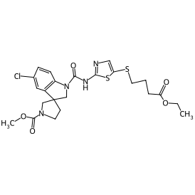 CCOC(=O)CCCSc1cnc(NC(=O)N2CC3(CCN(C(=O)OC)C3)c3cc(Cl)ccc32)s1